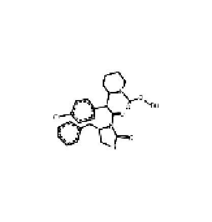 CC(C)(C)OC(=O)N1CCCCC1[C@@H](C(=O)N1C(=O)OC[C@H]1Cc1ccccc1)c1ccc(Cl)cc1